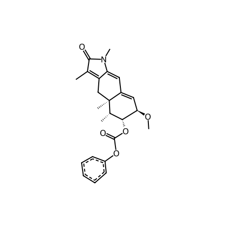 CO[C@@H]1C=C2C=C3C(=C(C)C(=O)N3C)C[C@]2(C)[C@@H](C)[C@H]1OC(=O)Oc1ccccc1